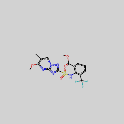 COC(=O)c1cccc(C(F)(F)F)c1NS(=O)(=O)c1nc2nc(OC)c(C)cn2n1